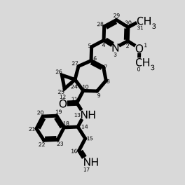 COc1nc(CC2=CCCC(C(=O)NC(CC=N)c3ccccc3)C3(CC3)C2)ccc1C